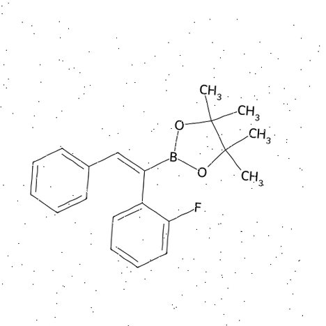 CC1(C)OB(C(=Cc2ccccc2)c2ccccc2F)OC1(C)C